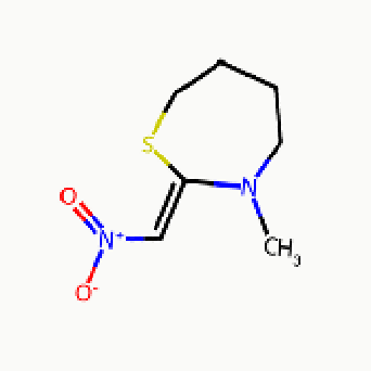 CN1CCCCSC1=C[N+](=O)[O-]